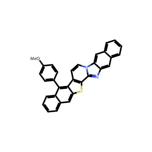 COc1ccc(-c2c3ccccc3cc3sc4c(ccn5c6cc7ccccc7cc6nc45)c23)cc1